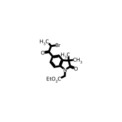 CCOC(=O)CN1C(=O)C(C)(C)c2cc(C(=O)C(C)Br)ccc21